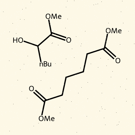 CCCCC(O)C(=O)OC.COC(=O)CCCCC(=O)OC